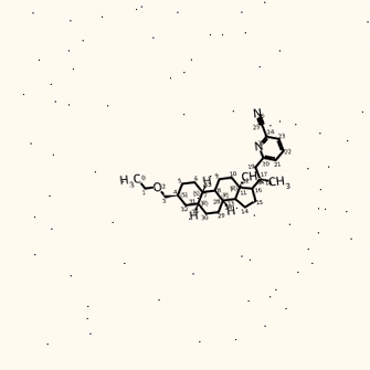 CCOC[C@H]1CC[C@@H]2C3CC[C@@]4(C)C(CCC4[C@H](C)Cc4cccc(C#N)n4)[C@@H]3CC[C@@H]2C1